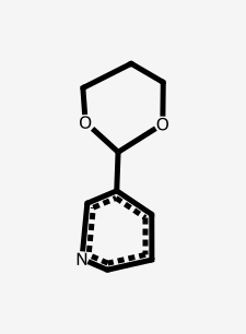 c1cncc(C2OCCCO2)c1